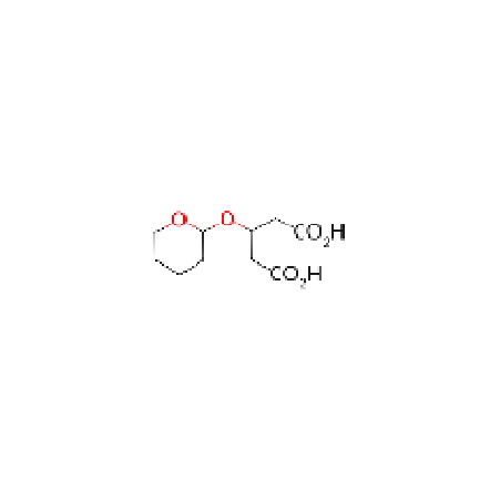 O=C(O)CC(CC(=O)O)OC1CCCCO1